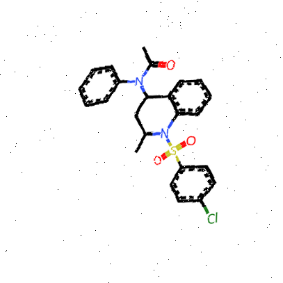 CC(=O)N(c1ccccc1)C1CC(C)N(S(=O)(=O)c2ccc(Cl)cc2)c2ccccc21